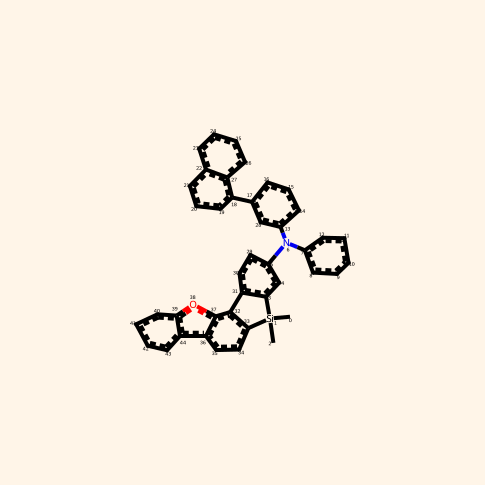 C[Si]1(C)c2cc(N(c3ccccc3)c3cccc(-c4cccc5ccccc45)c3)ccc2-c2c1ccc1c2oc2ccccc21